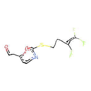 O=Cc1cnc(SCCC(F)=C(F)F)o1